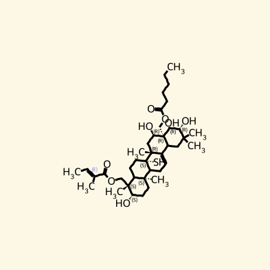 C/C=C(\C)C(=O)OC[C@]1(C)C2CC[C@]3(S)C(CC=C4C5CC(C)(C)[C@@H](O)[C@H](O)[C@]5(COC(=O)CCCCC)[C@H](O)C[C@]43C)[C@@]2(C)CC[C@@H]1O